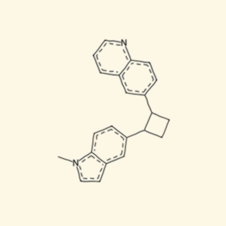 Cn1ccc2cc(C3CCC3c3ccc4ncccc4c3)ccc21